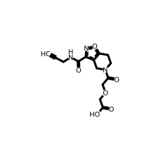 C#CCNC(=O)c1noc2c1CN(C(=O)COCC(=O)O)CC2